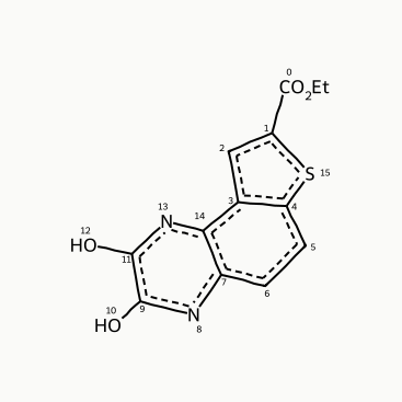 CCOC(=O)c1cc2c(ccc3nc(O)c(O)nc32)s1